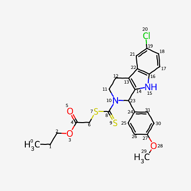 CCCOC(=O)CSC(=S)N1CCc2c([nH]c3ccc(Cl)cc23)C1c1ccc(OC)cc1